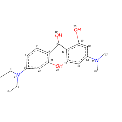 CCN(CC)c1ccc(C(O)c2ccc(N(C)C)cc2O)c(O)c1